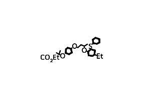 CCOC(=O)C(C)(C)Oc1ccc(OCCC(C)Oc2ccc(CC)cc2Sc2ccccc2)cc1